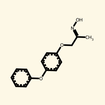 CC(COc1ccc(Oc2ccccc2)cc1)=NO